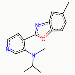 Cc1ccc2oc(-c3ccncc3N(C)C(C)C)nc2c1